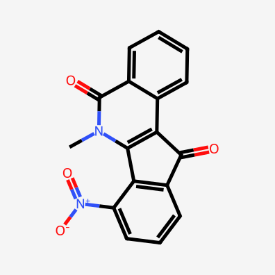 Cn1c2c(c3ccccc3c1=O)C(=O)c1cccc([N+](=O)[O-])c1-2